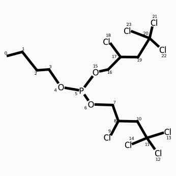 CCCCOP(OCC(Cl)CC(Cl)(Cl)Cl)OCC(Cl)CC(Cl)(Cl)Cl